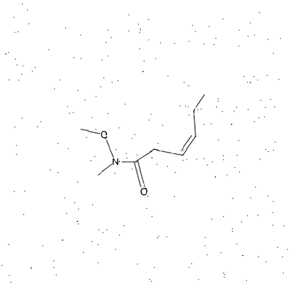 CC/C=C\CC(=O)N(C)OC